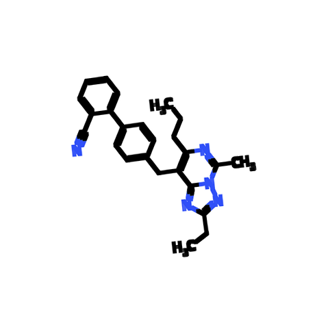 CCCc1nc(C)n2nc(CC)nc2c1Cc1ccc(-c2ccccc2C#N)cc1